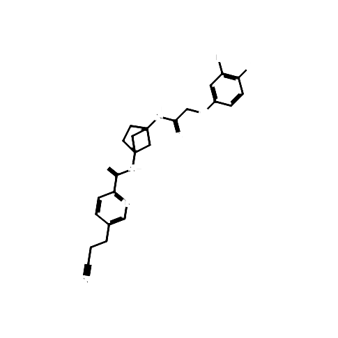 N#CCCc1ccc(C(=O)NC23CCC(NC(=O)COc4ccc(Cl)c(F)c4)(C2)C3)nc1